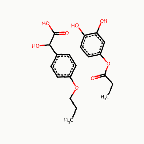 CCC(=O)Oc1ccc(O)c(O)c1.CCCOc1ccc(C(O)C(=O)O)cc1